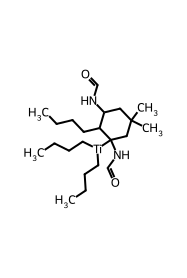 CCCCC1C(NC=O)CC(C)(C)C[C]1(NC=O)[Ti]([CH2]CCC)[CH2]CCC